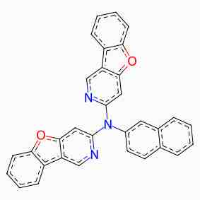 c1ccc2cc(N(c3cc4oc5ccccc5c4cn3)c3cc4oc5ccccc5c4cn3)ccc2c1